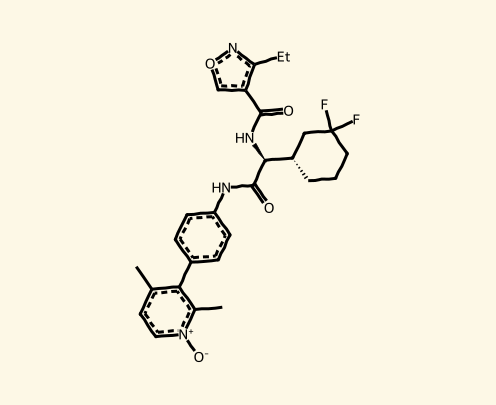 CCc1nocc1C(=O)N[C@H](C(=O)Nc1ccc(-c2c(C)cc[n+]([O-])c2C)cc1)[C@H]1CCCC(F)(F)C1